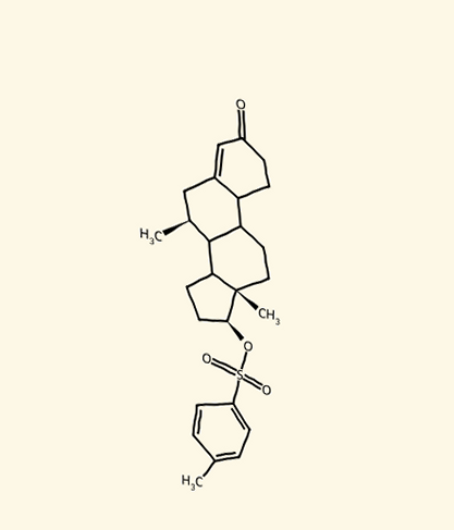 Cc1ccc(S(=O)(=O)O[C@H]2CCC3C4C(CC[C@@]32C)C2CCC(=O)C=C2C[C@@H]4C)cc1